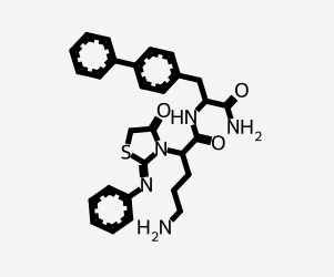 NCCCC(C(=O)NC(Cc1ccc(-c2ccccc2)cc1)C(N)=O)N1C(=O)CSC1=Nc1ccccc1